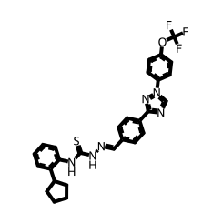 FC(F)(F)Oc1ccc(-n2cnc(-c3ccc(C=NNC(=S)Nc4ccccc4C4CCCC4)cc3)n2)cc1